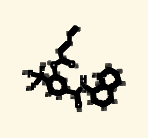 C=C/C=C/C(=O)Oc1cc(C(=O)Nc2cccc3cccnc23)ccc1C(F)(F)F